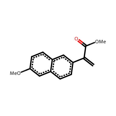 C=C(C(=O)OC)c1ccc2cc(OC)ccc2c1